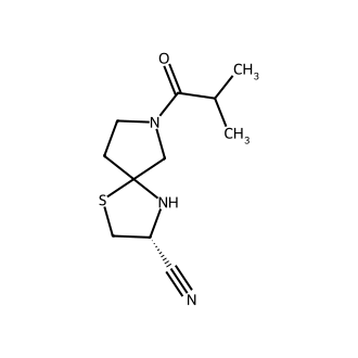 CC(C)C(=O)N1CCC2(C1)N[C@H](C#N)CS2